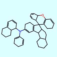 C1=CC2OC3=C(CCC=C3)C3(C4=C(C=C(N(C5=CCCC=C5)C5C=CC=C6CCCCC65)CC4)C4C5CCCCC5CCC43)C2C=C1